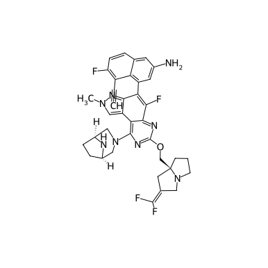 C#Cc1c(F)ccc2cc(N)cc(-c3c(F)c4nc(OC[C@@]56CCCN5CC(=C(F)F)C6)nc(N5C[C@H]6CC[C@@H](C5)N6)c4c4cn(C)nc34)c12